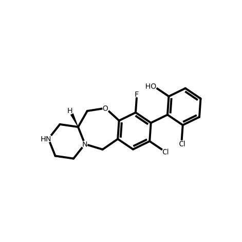 Oc1cccc(Cl)c1-c1c(Cl)cc2c(c1F)OC[C@H]1CNCCN1C2